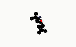 C=Cc1c(/C=C\C)n(-c2nc(-c3ccccc3)cc(-c3ccccc3)n2)c2cccc(-c3nnc(-c4cccc5c4c4ccccc4n5-c4nc(-c5ccccc5)cc(-c5ccccc5)n4)s3)c12